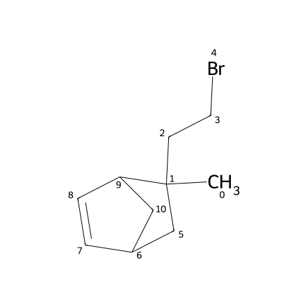 CC1(CCBr)CC2C=CC1C2